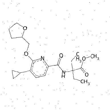 CCC(CC)(NC(=O)c1ccc(C2CC2)c(OCC2CCCO2)n1)C(=O)OC